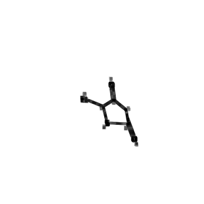 CCC1SC(=O)CC1=O